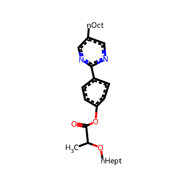 CCCCCCCCc1cnc(-c2ccc(OC(=O)C(C)OCCCCCCC)cc2)nc1